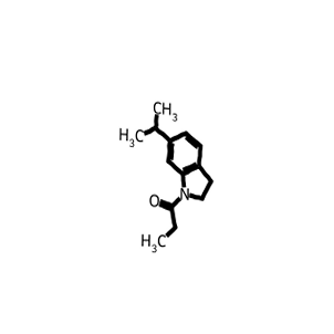 CCC(=O)N1CCc2ccc(C(C)C)cc21